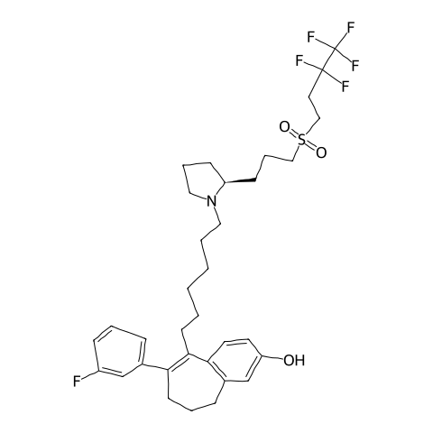 O=S(=O)(CCC[C@@H]1CCCN1CCCCCCC1=C(c2cccc(F)c2)CCCc2cc(O)ccc21)CCC(F)(F)C(F)(F)F